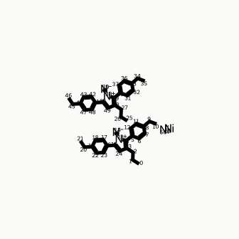 CCCC1=C(c2ccc(CC)cc2)[N+](=[N-])C(c2ccc(CC)cc2)=C1.CCCC1=C(c2ccc(CC)cc2)[N+](=[N-])C(c2ccc(CC)cc2)=C1.[Ni].[Ni]